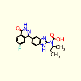 CCC(C)N(C(=O)O)c1nc2cc(-c3n[nH]c(=O)c4ccc(F)cc34)ccc2[nH]1